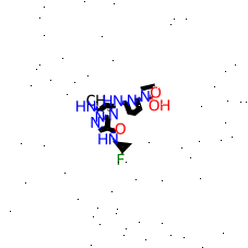 CNc1cc(Nc2cccc(N3CCOC3O)n2)nc2c(C(=O)N[C@H]3C[C@H]3F)cnn12